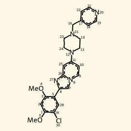 COc1cc(OC)c(-c2cn3ccc(N4CCN(Cc5ccncc5)CC4)cc3n2)cc1Cl